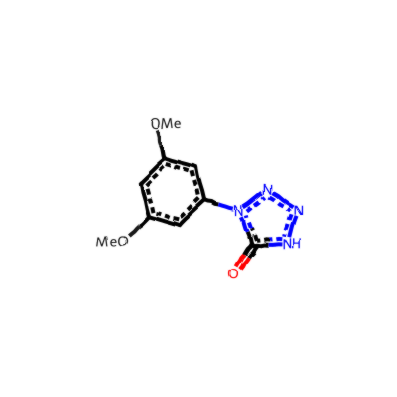 COc1cc(OC)cc(-n2nn[nH]c2=O)c1